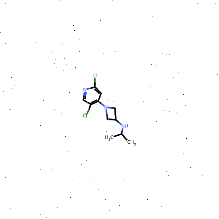 CC(C)NC1CN(c2cc(Cl)ncc2Cl)C1